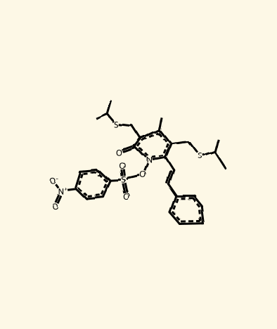 Cc1c(CSC(C)C)c(C=Cc2ccccc2)n(OS(=O)(=O)c2ccc([N+](=O)[O-])cc2)c(=O)c1CSC(C)C